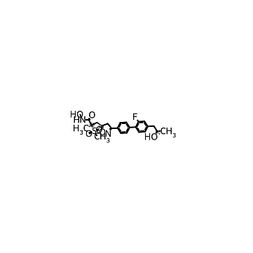 C[C@@H](O)Cc1ccc(-c2ccc(C3=NO[C@@H](C[C@](C)(C(=O)NO)S(C)(=O)=O)C3)cc2)c(F)c1